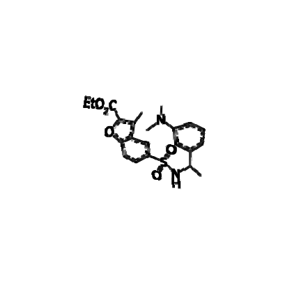 CCOC(=O)c1oc2ccc(S(=O)(=O)NC(C)c3cccc(N(C)C)c3)cc2c1C